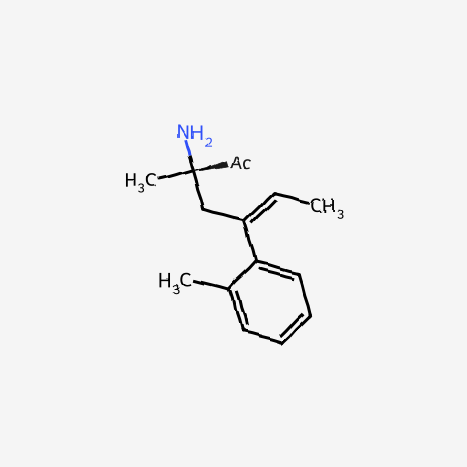 C/C=C(/C[C@](C)(N)C(C)=O)c1ccccc1C